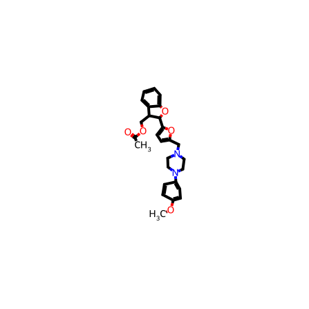 COc1ccc(N2CCN(Cc3ccc(C4Oc5ccccc5C4COC(C)=O)o3)CC2)cc1